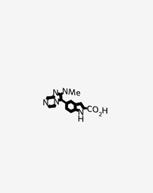 CNc1nc2cnccn2c1-c1ccc2[nH]c(C(=O)O)cc2c1